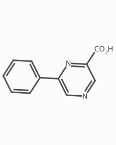 O=C(O)c1cncc(-c2ccccc2)n1